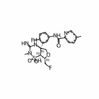 Cc1ccc(C(=O)Nc2ccc(F)c([C@]34CO[C@@H](CF)[C@H]3S(=O)(=O)N(C)C(=N)N4)c2)nc1